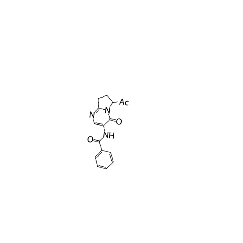 CC(=O)C1CCc2ncc(NC(=O)c3ccccc3)c(=O)n21